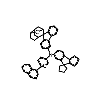 c1ccc2c(c1)-c1ccc(N(c3ccc(-c4cccc5ccccc45)cc3)c3ccc4c(c3)-c3ccccc3C43C4CCC5CC3CC5C4)cc1C21CCCC1